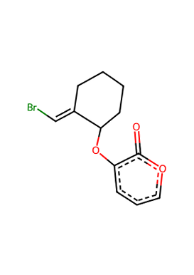 O=c1occcc1OC1CCCCC1=CBr